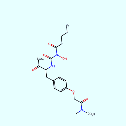 CNC(=O)[C@H](Cc1ccc(OCC(=O)N(C)C(=O)O)cc1)NC(=O)N(O)C(=O)CCCC(C)C